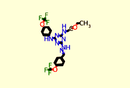 CCOCCNc1nc(N/N=C/c2ccc(OC(F)(F)F)cc2)nc(Nc2ccc(OC(F)(F)F)cc2)n1